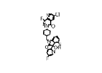 O=C(N[C@H]1CC[C@H](CN2C(=O)C(O)(c3ccc(F)cn3)c3c(F)cccc32)CC1)c1cc(Cl)cnc1C(F)F